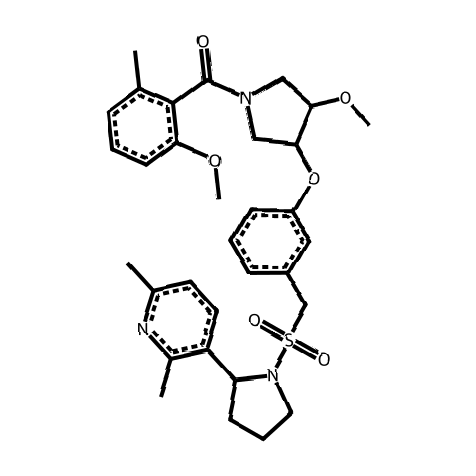 COc1cccc(C)c1C(=O)N1CC(OC)C(Oc2cccc(CS(=O)(=O)N3CCCC3c3ccc(C)nc3C)c2)C1